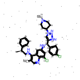 C[C@H](CNc1c(C#N)cnc2c(Cl)cc(N[C@H](C3=CN(C4CCN(C(C)(C)C)CC4)NN3)c3ccc(Cl)cc3)cc12)c1ccccc1